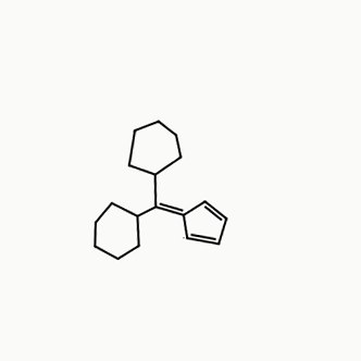 [C]1=CC=CC1=C(C1CCCCC1)C1CCCCC1